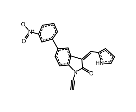 C#CN1C(=O)C(=Cc2ccc[nH]2)c2cc(-c3cccc([N+](=O)[O-])c3)ccc21